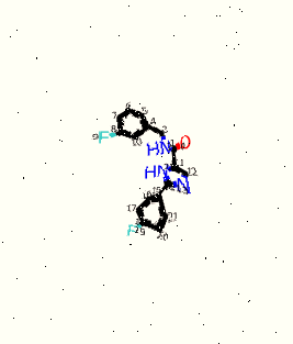 O=C(NCc1cccc(F)c1)c1cnc(-c2ccc(F)cc2)[nH]1